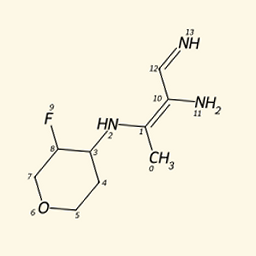 C/C(NC1CCOCC1F)=C(\N)C=N